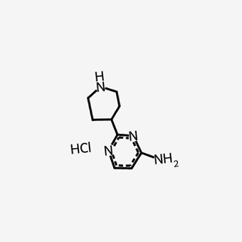 Cl.Nc1ccnc(C2CCNCC2)n1